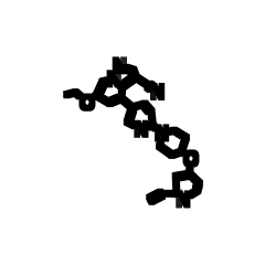 C#Cc1cc(OC2CCN(c3ccc(-c4cc(OCC)cn5ncc(C#N)c45)cn3)CC2)ccn1